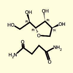 NC(=O)CCC(N)=O.OC[C@@H](O)[C@H]1OC[C@H](O)[C@H]1O